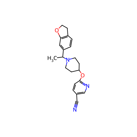 CC(c1ccc2c(c1)OCC2)N1CCC(Oc2ccc(C#N)cn2)CC1